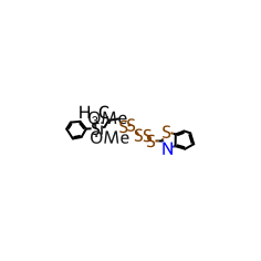 CO[Si](CC(C)CSSSSSc1nc2ccccc2s1)(OC)c1ccccc1